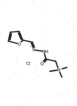 C[N+](C)(C)CC(=O)N/N=C/c1ccco1.[Cl-]